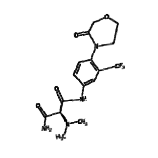 CN(C)[C@@H](C(N)=O)C(=O)Nc1ccc(N2CCOCC2=O)c(C(F)(F)F)c1